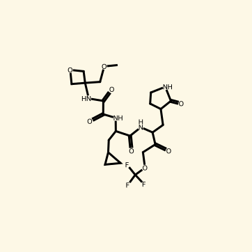 COCC1(NC(=O)C(=O)NC(CC2CC2)C(=O)NC(CC2CCNC2=O)C(=O)COC(F)(F)F)COC1